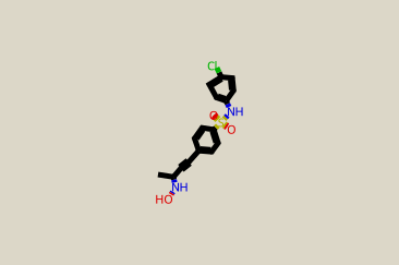 CC(C#Cc1ccc(S(=O)(=O)Nc2ccc(Cl)cc2)cc1)NO